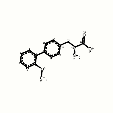 COc1ncccc1-c1ccc(C[C@H](N)C(=O)O)cc1